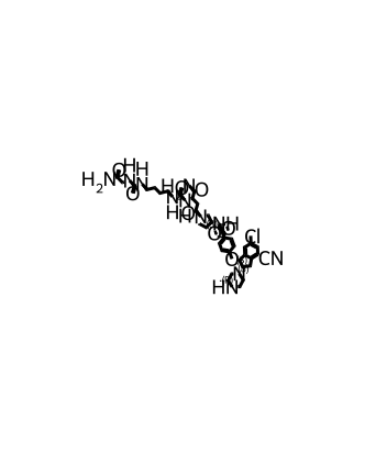 C[C@@H]1CN([C@H]2Cc3c(C#N)cc(Cl)cc3[C@@H]2Oc2ccc(S(=O)(=O)N[C@H]3CCN(C(=O)CC(NC(=O)NCCCCNC(=O)NCC(N)=O)C(N)=O)C3)cc2)CCN1